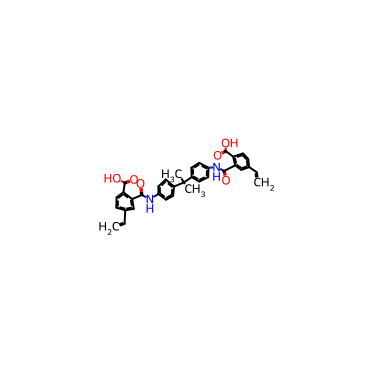 C=Cc1ccc(C(=O)O)c(C(=O)Nc2ccc(C(C)(C)c3ccc(NC(=O)c4cc(C=C)ccc4C(=O)O)cc3)cc2)c1